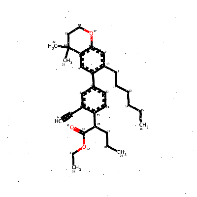 C#Cc1cc(-c2cc3c(cc2CCCCCC)OCCC3(C)C)ccc1C(CCC)C(=O)OCC